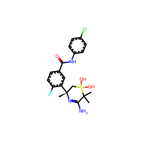 CC1(C)C(N)=N[C@](C)(c2cc(C(=O)Nc3ccc(Cl)cc3)ccc2F)CS1(O)O